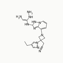 CCc1cnn(C2(CC#N)CN(C3=CC=CN4NC(N/C(=C/N)NN)N=C34)C2)c1